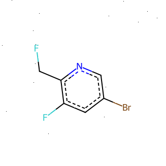 FCc1ncc(Br)cc1F